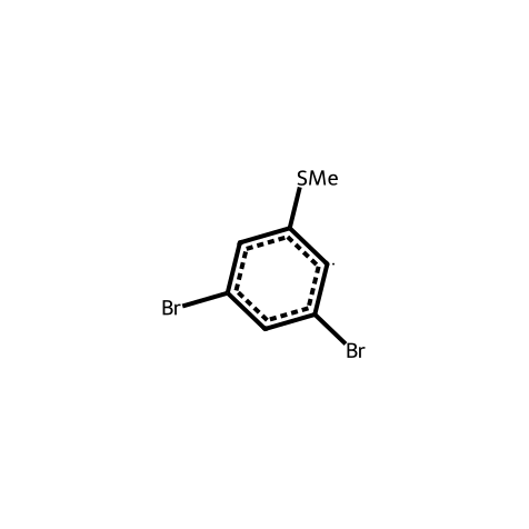 CSc1[c]c(Br)cc(Br)c1